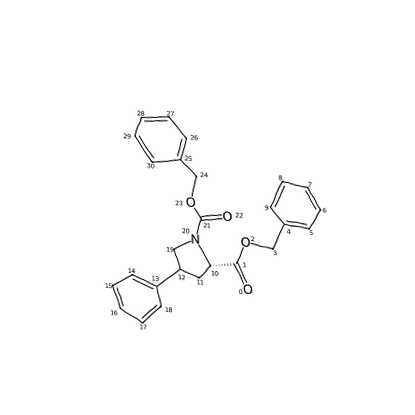 O=C(OCc1ccccc1)[C@@H]1CC(c2ccccc2)CN1C(=O)OCc1ccccc1